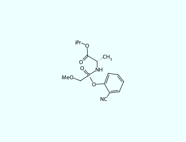 COCP(=O)(N[C@@H](C)C(=O)OC(C)C)Oc1ccccc1C#N